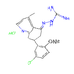 COc1ccc(Cl)cc1C1CC(=NNC(=N)N)c2c(C)ccnc2C1.Cl